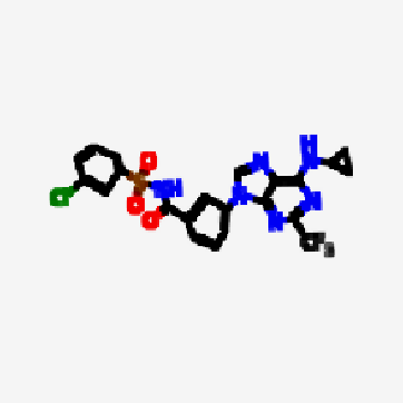 O=C(NS(=O)(=O)c1cccc(Cl)c1)c1cccc(-n2cnc3c(NC4CC4)nc(C(F)(F)F)nc32)c1